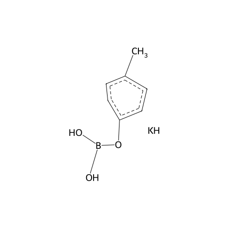 Cc1ccc(OB(O)O)cc1.[KH]